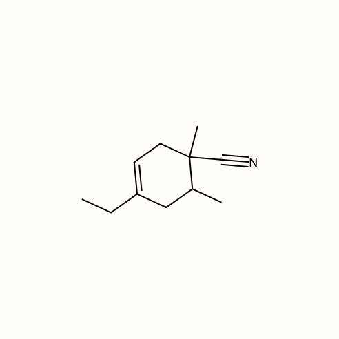 CCC1=CCC(C)(C#N)C(C)C1